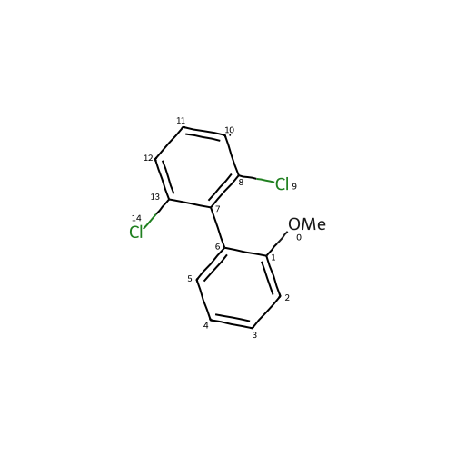 COc1ccccc1-c1c(Cl)[c]ccc1Cl